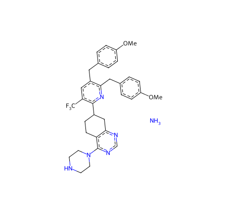 COc1ccc(Cc2cc(C(F)(F)F)c(C3CCc4c(ncnc4N4CCNCC4)C3)nc2Cc2ccc(OC)cc2)cc1.N